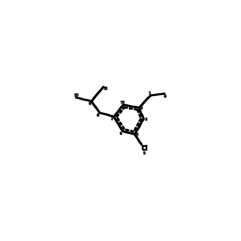 CCc1cc(Cl)cc(CC(C)C)c1